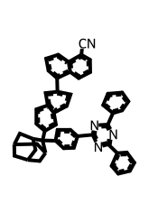 N#Cc1cccc2c(-c3ccc4cc(C5(c6ccc(-c7nc(-c8ccccc8)nc(-c8ccccc8)n7)cc6)C6CC7CC(C6)CC5C7)ccc4c3)cccc12